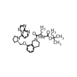 CC(NC(=O)OC(C)(C)C)C(=O)N1CCc2cccc(OC[C@H]3CCCN3c3ccnc4ncnn34)c2C1